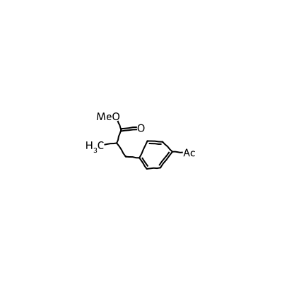 COC(=O)C(C)Cc1ccc(C(C)=O)cc1